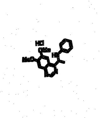 COc1cc2ncnc(C(C)Nc3ccccc3)c2cc1OC.Cl